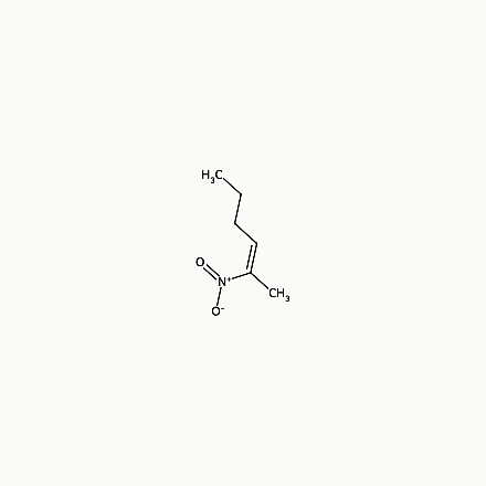 CCCC=C(C)[N+](=O)[O-]